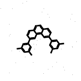 Cc1cc(C)cc(-c2ccc3ccc4ccc(-c5cc(C)cc(C)c5)cc4c3c2)c1